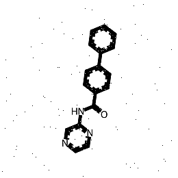 O=C(Nc1cnccn1)c1ccc(-c2ccccc2)cc1